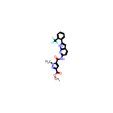 COC(=O)c1cc(C(=O)Nc2ccc3cc(-c4ccccc4C(F)(F)F)[nH]c3n2)n(C)n1